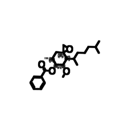 CO[C@@H]1[C@H](OC(=O)c2ccccc2)[C@H](C)C[C@]2(CO2)[C@H]1C(C)CCCC(C)C